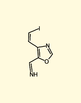 N=Cc1ocnc1/C=C\I